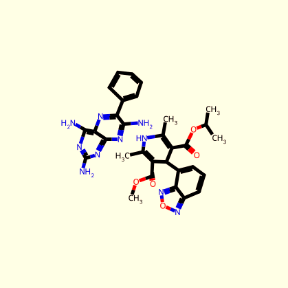 COC(=O)C1=C(C)NC(C)=C(C(=O)OC(C)C)C1c1cccc2nonc12.Nc1nc(N)c2nc(-c3ccccc3)c(N)nc2n1